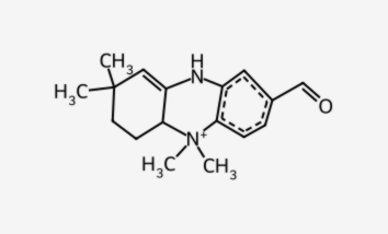 CC1(C)C=C2Nc3cc(C=O)ccc3[N+](C)(C)C2CC1